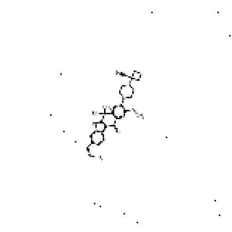 CCc1cc2c(cc1N1CCN(C3(C#N)CCC3)CC1)C(C)(C)c1[nH]c3cc(/C=N\C)ccc3c1C2=O